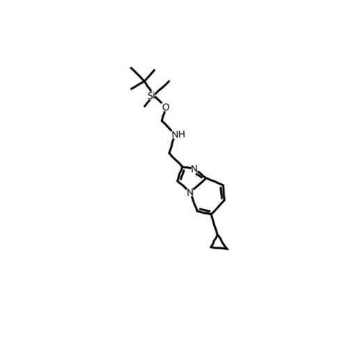 CC(C)(C)[Si](C)(C)OCNCc1cn2cc(C3CC3)ccc2n1